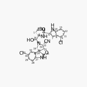 CC(C)(C)C[C@H](NC(=O)c1cc2c(Cl)cccc2[nH]1)C(O)N1C[C@]2(C[C@H]1C#N)C(=O)Nc1ccc(Cl)cc12